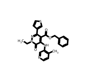 CCn1nc(-c2ccsc2)c(C(=O)OCc2ccccc2)c(Nc2cnccc2C)c1=O